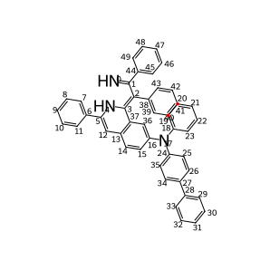 N=C(/C(=C1\NC(c2ccccc2)=Cc2ccc(N(c3ccccc3)c3ccc(-c4ccccc4)cc3)cc21)c1ccccc1)c1ccccc1